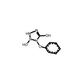 OC1=NNN(O)N1Oc1ccccc1